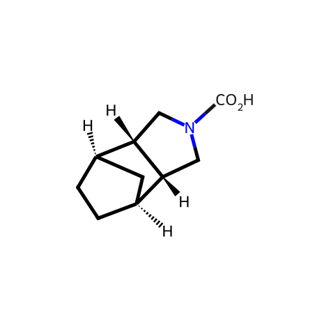 O=C(O)N1C[C@@H]2[C@H]3CC[C@H](C3)[C@@H]2C1